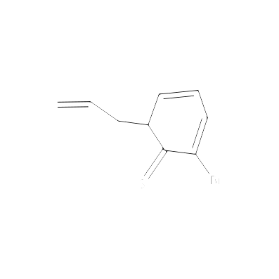 C=CCC1C=CC=C(Br)C1=S